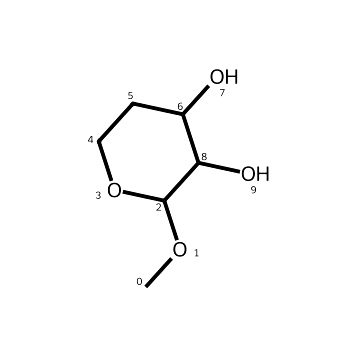 COC1OCCC(O)C1O